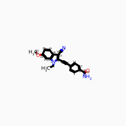 CCn1c(C#Cc2ccc(C(N)=O)cc2)c(C#N)c2ccc(OC)cc21